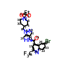 CCS(=O)(=O)N1CCC(Cn2ncc(NC(=O)c3cc(C(F)(F)F)nc4ccc(Br)cc34)c2C)CC1